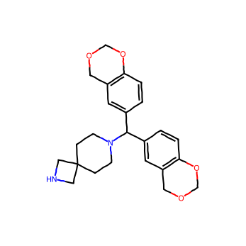 c1cc2c(cc1C(c1ccc3c(c1)COCO3)N1CCC3(CC1)CNC3)COCO2